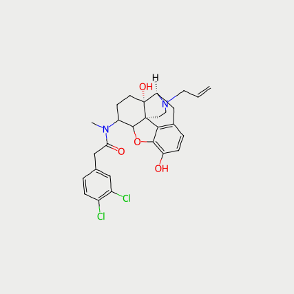 C=CCN1CC[C@]23c4c5ccc(O)c4OC2C(N(C)C(=O)Cc2ccc(Cl)c(Cl)c2)CC[C@@]3(O)[C@H]1C5